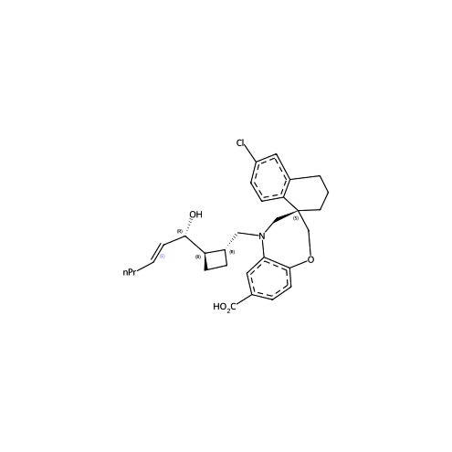 CCC/C=C/[C@H](O)[C@@H]1CC[C@H]1CN1C[C@@]2(CCCc3cc(Cl)ccc32)COc2ccc(C(=O)O)cc21